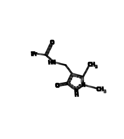 Cc1c(CNC(=O)C(C)C)c(=O)[nH]n1C